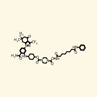 CC1(C)CC(=O)c2c(C(F)(F)F)nn(-c3ccc(C(N)=O)c(NC4CCC(OC(=O)N5CCN(C(=O)ONC(=O)CCCCCCC(=O)Nc6ccccc6)CC5)CC4)c3)c2C1